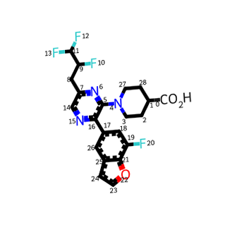 O=C(O)C1CCN(c2nc(CC(F)C(F)F)cnc2-c2cc(F)c3occc3c2)CC1